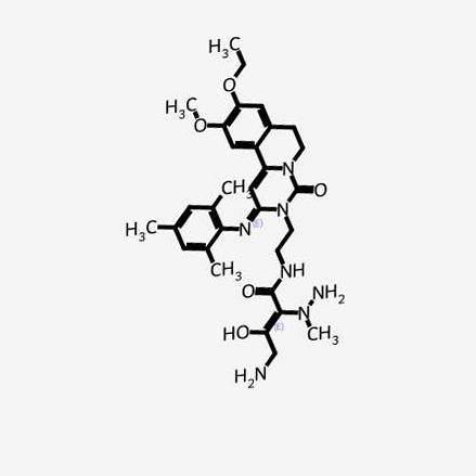 CCOc1cc2c(cc1OC)-c1c/c(=N\c3c(C)cc(C)cc3C)n(CCNC(=O)/C(=C(\O)CN)N(C)N)c(=O)n1CC2